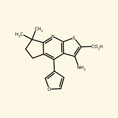 CC1(C)CCc2c1nc1sc(C(=O)O)c(N)c1c2-c1ccoc1